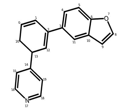 C1=CC(c2ccc3occc3c2)=CC(c2ccncc2)C1